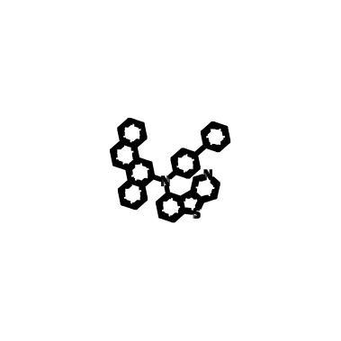 c1ccc(-c2ccc(N(c3cc4c5ccccc5ccc4c4ccccc34)c3cccc4sc5ccncc5c34)cc2)cc1